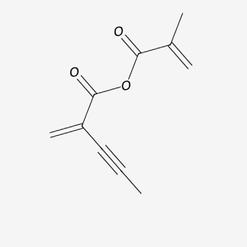 C=C(C)C(=O)OC(=O)C(=C)C#CC